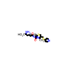 CO[C@@]1(NC(=O)CCCC(N)C(=O)O)C(=O)N2C(C(=O)O)=C(CSc3ccncc3)CS[C@H]21